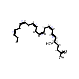 CC/C=C\C/C=C\C/C=C\C/C=C\C/C=C\C=C\[C@@H](O)CCC(=O)O